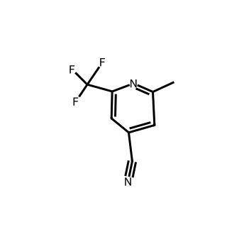 Cc1cc(C#N)cc(C(F)(F)F)n1